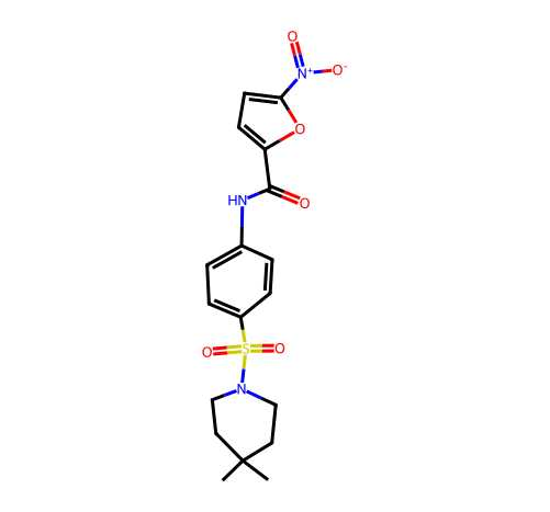 CC1(C)CCN(S(=O)(=O)c2ccc(NC(=O)c3ccc([N+](=O)[O-])o3)cc2)CC1